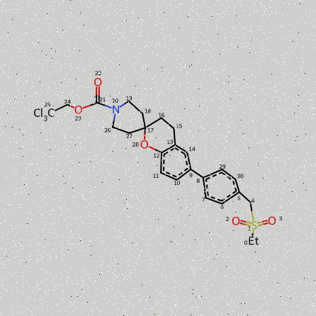 CCS(=O)(=O)Cc1ccc(-c2ccc3c(c2)CCC2(CCN(C(=O)OCC(Cl)(Cl)Cl)CC2)O3)cc1